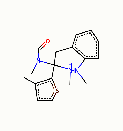 CNc1ccccc1CC(NC)(c1sccc1C)N(C)C=O